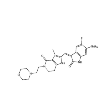 CC(=O)Nc1cc2c(cc1F)C(=Cc1[nH]c3c(c1C)C(=O)N(CCN1CCOCC1)CC3)C(=O)N2